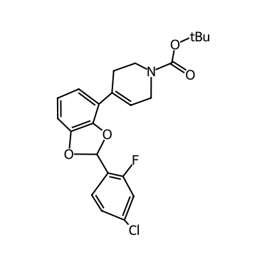 CC(C)(C)OC(=O)N1CC=C(c2cccc3c2OC(c2ccc(Cl)cc2F)O3)CC1